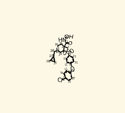 O=C(NO)C1(CS(=O)(=O)c2ccc(Oc3ccc(Cl)cc3)cc2)CCN(CC2CC2)CC1